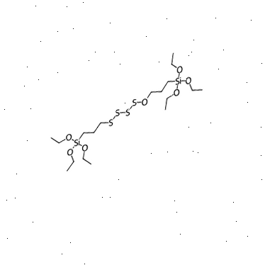 CCO[Si](CCCOSSSSCCC[Si](OCC)(OCC)OCC)(OCC)OCC